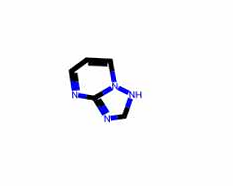 C1=CN2NCN=C2N=C1